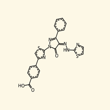 O=C(O)c1ccc(-c2csc(N3N=C(c4ccccc4)/C(=N/Nc4nccs4)C3=O)n2)cc1